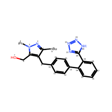 CCCCc1nn(C(C)C)c(CO)c1Cc1ccc(-c2ccccc2-c2nnn[nH]2)cc1